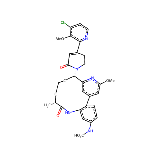 COc1cc2cc(n1)[C@@H](N1CCC(c3nccc(Cl)c3OC)=CC1=O)CCC[C@@H](C)C(=O)Nc1cc(NC(=O)O)ccc1-2